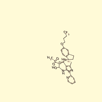 CS(=O)(=O)CC(O)Nc1c2c(nn1-c1ccccn1)C[C@]1(CCc3cc(OCCCC(F)(F)F)ccc31)NC2=O